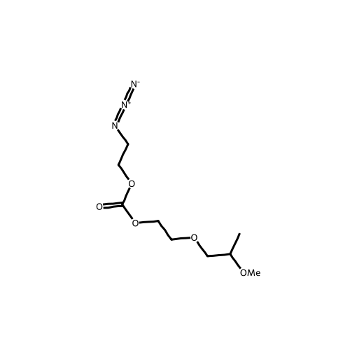 COC(C)COCCOC(=O)OCCN=[N+]=[N-]